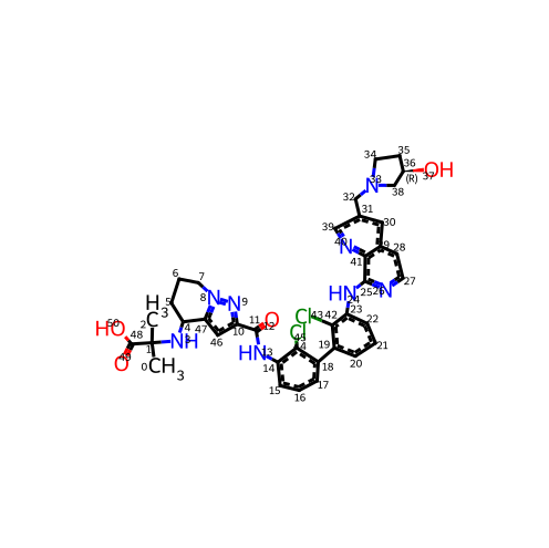 CC(C)(NC1CCCn2nc(C(=O)Nc3cccc(-c4cccc(Nc5nccc6cc(CN7CC[C@@H](O)C7)cnc56)c4Cl)c3Cl)cc21)C(=O)O